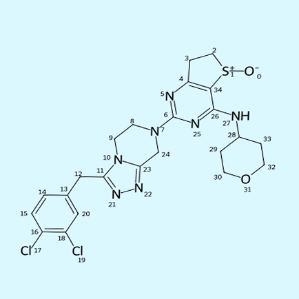 [O-][S+]1CCc2nc(N3CCn4c(Cc5ccc(Cl)c(Cl)c5)nnc4C3)nc(NC3CCOCC3)c21